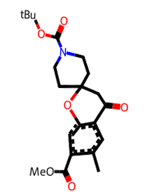 COC(=O)c1cc2c(cc1C)C(=O)CC1(CCN(C(=O)OC(C)(C)C)CC1)O2